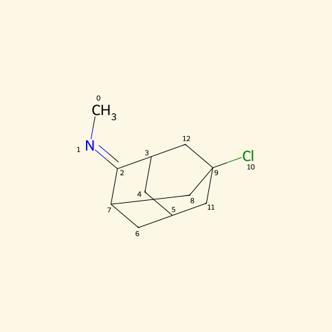 CN=C1C2CC3CC1CC(Cl)(C3)C2